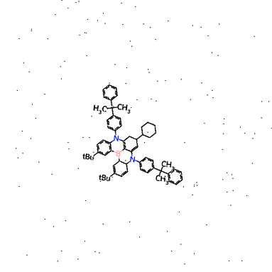 CC(C)(C)C1=CC2B3C4=C(CC(C5CCCCC5)C=C4N(c4ccc(C(C)(C)c5ccccc5)cc4)C2C=C1)N(c1ccc(C(C)(C)c2ccccc2)cc1)c1ccc(C(C)(C)C)cc13